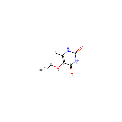 Cc1[nH]c(=O)[nH]c(=O)c1OCC(=O)O